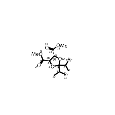 COC(=O)[C@@H]1OC(C(C)Br)(C(C)Br)O[C@H]1C(=O)OC